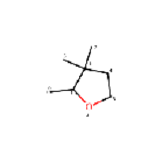 [CH2]C1OCCC1(C)C